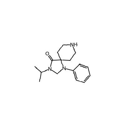 CC(C)N1CN(c2ccccc2)C2(CCNCC2)C1=O